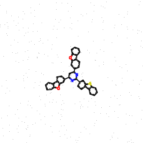 c1ccc2c(c1)oc1cc(-c3cc(-c4ccc5c(c4)oc4ccccc45)nc(-c4ccc5c(c4)sc4ccccc45)n3)ccc12